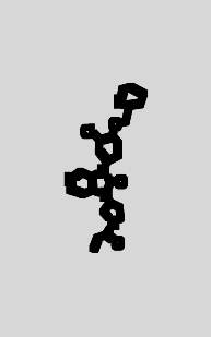 C=CC(=O)N1CCC(n2c(=O)n(-c3ccc(OCc4ccccn4)c(Cl)c3)c3cnccc32)C1